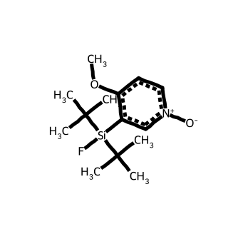 COc1cc[n+]([O-])cc1[Si](F)(C(C)(C)C)C(C)(C)C